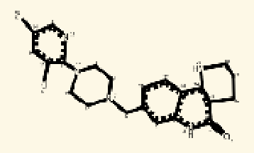 O=c1[nH]c2cc(CN3CCN(c4ncc(Cl)cc4Cl)CC3)ccc2c2c1CCCN2